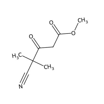 COC(=O)CC(=O)C(C)(C)C#N